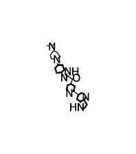 CN(C)C1CCN(c2ccc3nc(C(=O)c4ccnc(-c5cnc6cc[nH]c6c5)c4)[nH]c3c2)CC1